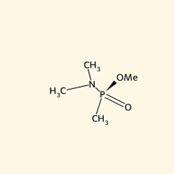 CO[P@](C)(=O)N(C)C